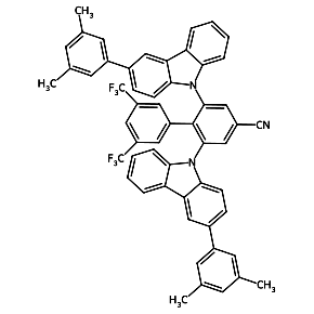 Cc1cc(C)cc(-c2ccc3c(c2)c2ccccc2n3-c2cc(C#N)cc(-n3c4ccccc4c4cc(-c5cc(C)cc(C)c5)ccc43)c2-c2cc(C(F)(F)F)cc(C(F)(F)F)c2)c1